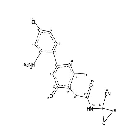 CC(=O)Nc1cc(Cl)ccc1-c1cc(=O)n(CC(=O)NC2(C#N)CC2)c(C)n1